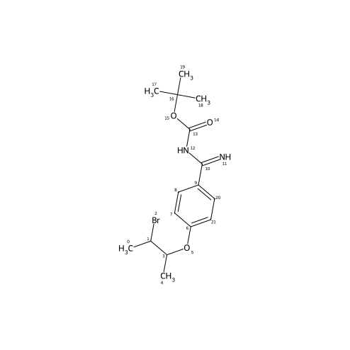 CC(Br)C(C)Oc1ccc(C(=N)NC(=O)OC(C)(C)C)cc1